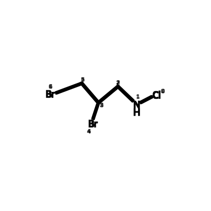 ClNCC(Br)CBr